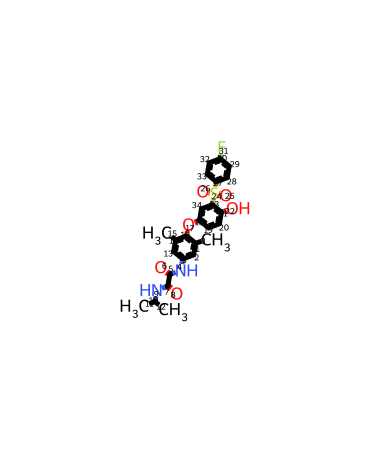 Cc1cc(NC(=O)C(=O)NC(C)C)cc(C)c1Oc1ccc(O)c(S(=O)(=O)c2ccc(F)cc2)c1